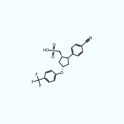 N#Cc1ccc(N2C[C@H](Oc3ccc(C(F)(F)F)cc3)C[C@H]2CS(=O)(=O)O)cc1